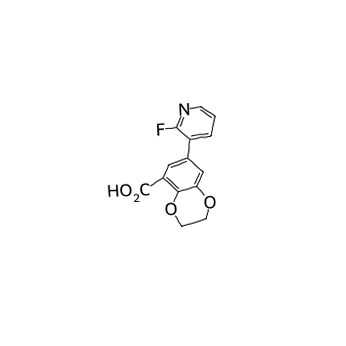 O=C(O)c1cc(-c2cccnc2F)cc2c1OCCO2